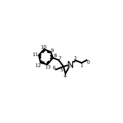 CCCN1CC1(C)Cc1ccccc1